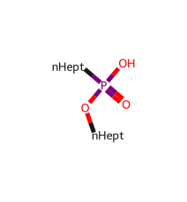 CCCCCCCOP(=O)(O)CCCCCCC